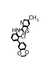 Cc1cnc2c(Nc3cccc(-c4ccc5c(c4)OCCO5)c3Cl)nsc2c1